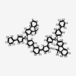 CC1(C)c2ccccc2-c2ccc(N(c3ccc(-c4ccccc4)cc3)c3ccc(-c4cccc(-c5cccc(-c6cccc(N(c7ccc(-c8ccccc8)cc7)c7ccc8c(c7)C(C)(C)c7ccccc7-8)c6)c5)c4)cc3)cc21